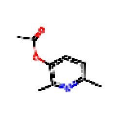 CC(=O)Oc1ccc(C)nc1C